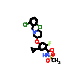 CS(=O)(=O)NC(=O)c1cc(C2CC2)c(O[C@@H]2CCCN(Cc3c(Cl)cccc3Cl)C2)cc1F